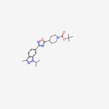 Cc1nn(C(C)C)c2cc(-c3noc(C4CCN(C(=O)OC(C)(C)C)CC4)n3)ccc12